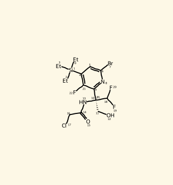 CC[Si](CC)(CC)c1cc(Br)nc([C@](CO)(NC(=O)CCl)C(F)F)c1F